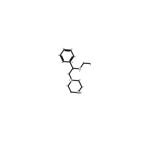 CCOC(CN1CCNCC1)c1ccccc1